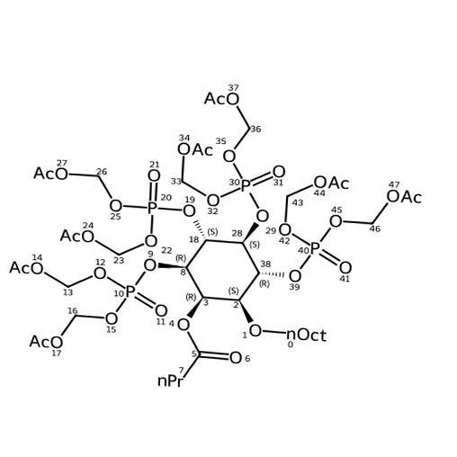 CCCCCCCCO[C@H]1[C@@H](OC(=O)CCC)[C@@H](OP(=O)(OCOC(C)=O)OCOC(C)=O)[C@H](OP(=O)(OCOC(C)=O)OCOC(C)=O)[C@@H](OP(=O)(OCOC(C)=O)OCOC(C)=O)[C@@H]1OP(=O)(OCOC(C)=O)OCOC(C)=O